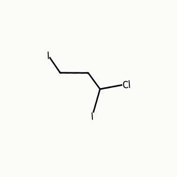 ClC(I)CCI